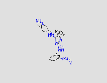 NCC1CCC(CNc2nc(NCc3cccc(N)c3)ncc2[N+](=O)[O-])CC1